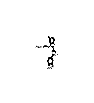 COCCn1c(-c2c[nH]c(-c3ccc4nonc4c3)n2)nc2ccc(C)cc21